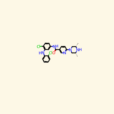 C[C@@H]1CN(c2ccc(C(=O)Nc3ccc(Cl)c(Nc4ccccc4Cl)c3)cn2)C[C@H](C)N1